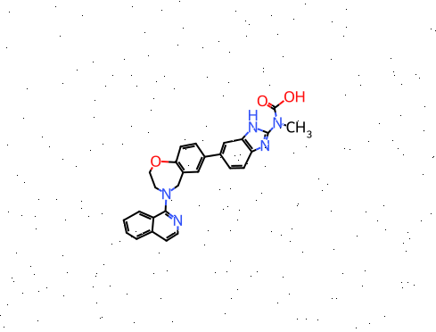 CN(C(=O)O)c1nc2ccc(-c3ccc4c(c3)CN(c3nccc5ccccc35)CCO4)cc2[nH]1